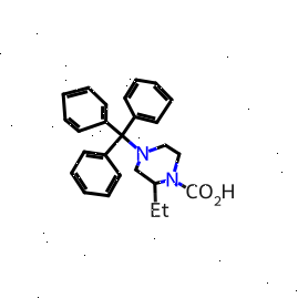 CCC1CN(C(c2ccccc2)(c2ccccc2)c2ccccc2)CCN1C(=O)O